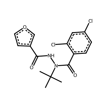 CC(C)(C)N(NC(=O)c1ccoc1)C(=O)c1ccc(Cl)cc1Cl